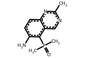 Cc1ncc2c(P(C)(C)=O)c(N)ccc2n1